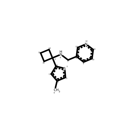 Cc1csc(C2(NCc3cccnc3)CCC2)c1